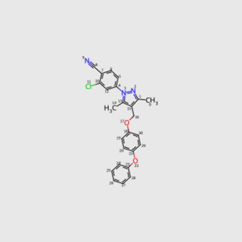 Cc1nn(-c2ccc(C#N)c(Cl)c2)c(C)c1COc1ccc(Oc2ccccc2)cc1